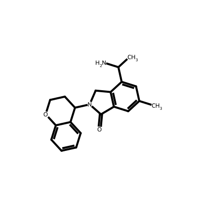 Cc1cc2c(c(C(C)N)c1)CN(C1CCOc3ccccc31)C2=O